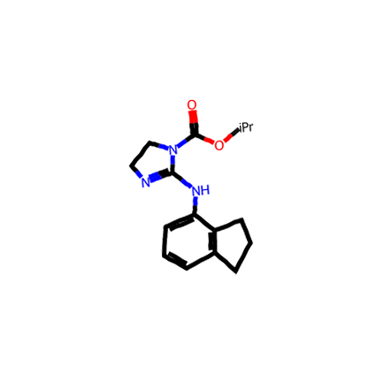 CC(C)OC(=O)N1CCN=C1Nc1cccc2c1CCC2